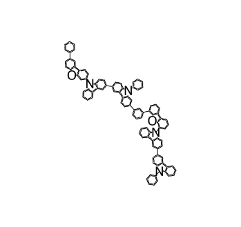 c1ccc(-c2ccc3oc4cc(-n5c6ccccc6c6cc(-c7ccc8c(c7)c7ccc(-c9cccc(-c%10cccc%11c%10oc%10c(-n%12c%13ccccc%13c%13cc(-c%14ccc%15c(c%14)c%14ccccc%14n%15-c%14ccccc%14)ccc%13%12)cccc%10%11)c9)cc7n8-c7ccccc7)ccc65)ccc4c3c2)cc1